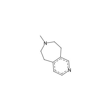 CN1CCc2ccncc2CC1